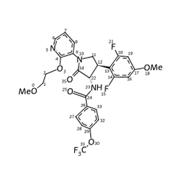 COCCOc1ncccc1N1C[C@@H](c2c(F)cc(OC)cc2F)[C@H](NC(=O)c2ccc(OC(F)(F)F)cc2)C1=O